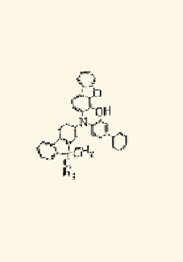 CC1(C)C2=C(CCC(N(c3ccc(-c4ccccc4)cc3)c3ccc4c(oc5ccccc54)c3O)=C2)c2ccccc21